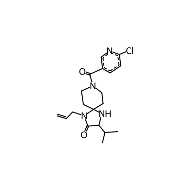 C=CCN1C(=O)C(C(C)C)NC12CCN(C(=O)c1ccc(Cl)nc1)CC2